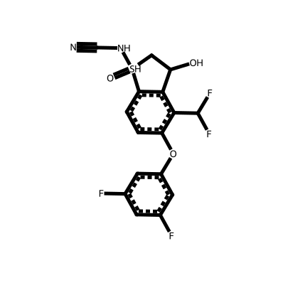 N#CN[SH]1(=O)CC(O)c2c1ccc(Oc1cc(F)cc(F)c1)c2C(F)F